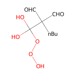 CCCCC(C=O)(C=O)C(O)(O)OOO